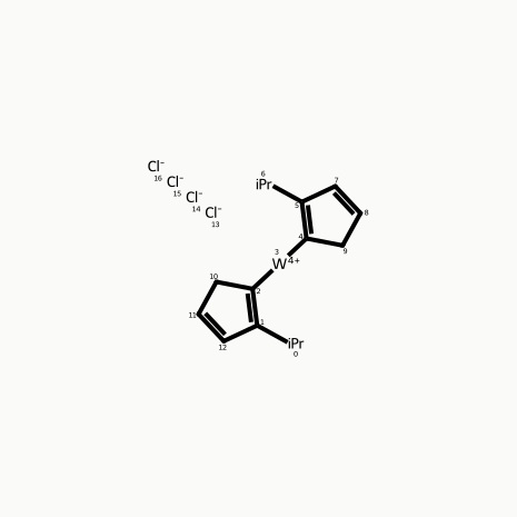 CC(C)C1=[C]([W+4][C]2=C(C(C)C)C=CC2)CC=C1.[Cl-].[Cl-].[Cl-].[Cl-]